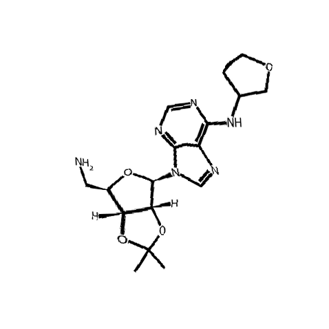 CC1(C)O[C@@H]2[C@H](O1)[C@@H](CN)O[C@H]2n1cnc2c(NC3CCOC3)ncnc21